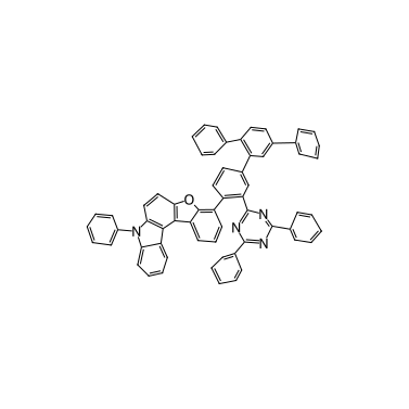 c1ccc(-c2ccc(-c3ccccc3)c(-c3ccc(-c4cccc5c4oc4ccc6c(c7ccccc7n6-c6ccccc6)c45)c(-c4nc(-c5ccccc5)nc(-c5ccccc5)n4)c3)c2)cc1